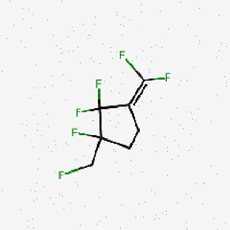 FCC1(F)CCC(=C(F)F)C1(F)F